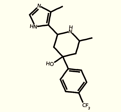 Cc1nc[nH]c1C1CC(O)(c2ccc(C(F)(F)F)cc2)CC(C)N1